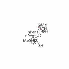 CCCCCC(C[Si](C)(O)CCCS)(c1ccc(SC)cc1)c1cccc(C(CCCCC)(C[Si](C)(O)CCCS)c2ccc(SC)cc2)c1